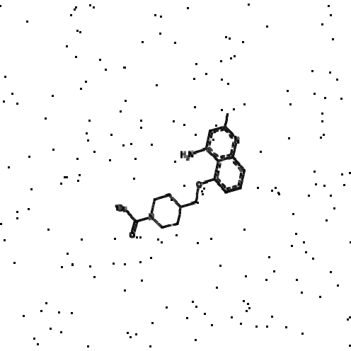 Cc1cc(N)c2c(OCC3CCN(C(=O)C(C)(C)C)CC3)cccc2n1